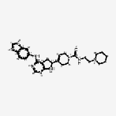 O=C(NCCN1CCCCC1)N1CC=C(C2Cc3c(Nc4ccc5ncsc5c4)ncnc3N2)CC1